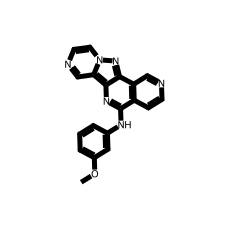 COc1cccc(Nc2nc3c(nn4ccncc34)c3cnccc23)c1